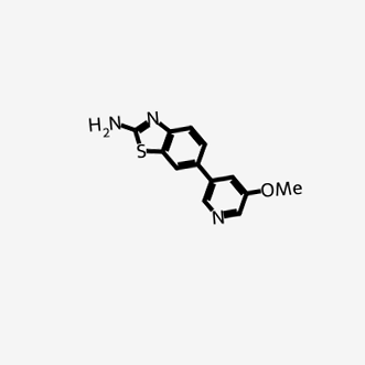 COc1cncc(-c2ccc3nc(N)sc3c2)c1